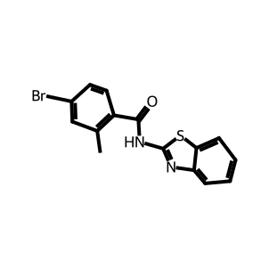 Cc1cc(Br)ccc1C(=O)Nc1nc2ccccc2s1